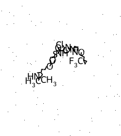 CC1(C)CC(CCCOc2ccc(SNC(=O)c3ccc(-n4ccc(OCCC5(C(F)(F)F)CC5)n4)nc3Cl)cc2)CN1